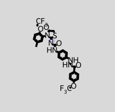 Cc1ccc(OCC(F)(F)F)c(N2C(=O)CS/C2=N\C(=O)Nc2ccc(NNC(=O)c3ccc(OC(F)(F)F)cc3)cc2)c1